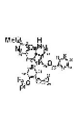 COc1ccc(Cc2c(-c3ccc(OC(F)F)c(OC4CC4)c3)n(COCc3ccccc3)c3cn[nH]c(=O)c23)cn1